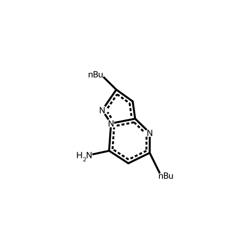 CCCCc1cc(N)n2nc(CCCC)cc2n1